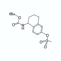 CC(C)(C)OC(=O)NC1CCCc2cc(OS(C)(=O)=O)ccc21